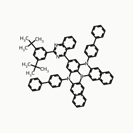 CC(C)(C)c1cc(-c2nc(-c3cc4c5c(c3)N(c3ccc(-c6ccccc6)cc3)c3cc6ccccc6cc3B5c3cc5ccccc5cc3N4c3ccc(-c4ccccc4)cc3)c3ccccc3n2)cc(C(C)(C)C)c1